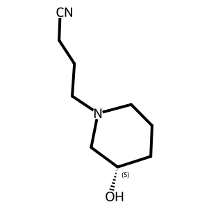 N#CCCCN1CCC[C@H](O)C1